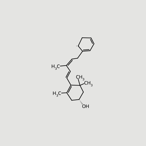 CC(=CCC1=CC=CC[CH]1)/C=C/C1=C(C)C[C@@H](O)CC1(C)C